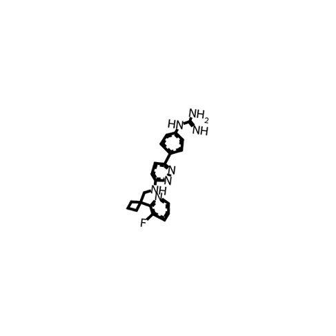 N=C(N)Nc1ccc(-c2ccc(NCC3(c4ncccc4F)CCC3)nn2)cc1